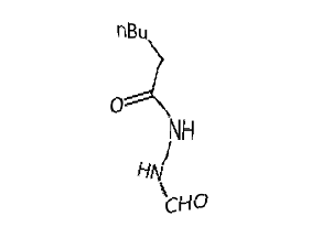 CCCCCC(=O)NNC=O